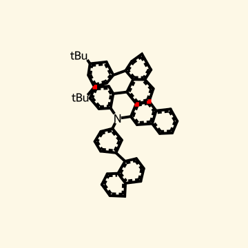 CC(C)(C)c1cc(-c2cccc3cccc(-c4ccccc4N(c4cccc(-c5cccc6ccccc56)c4)c4ccc5ccccc5c4)c23)cc(C(C)(C)C)c1